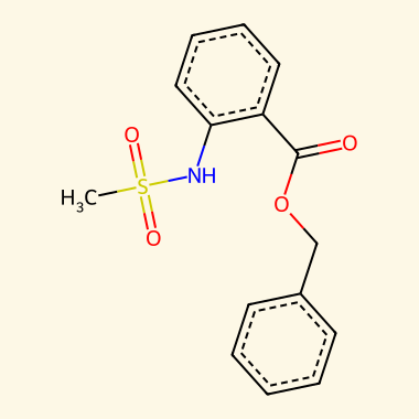 CS(=O)(=O)Nc1ccccc1C(=O)OCc1ccccc1